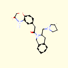 O=C1COc2ccc(CC(=O)N3Cc4ccccc4CC3CN3CCCC3)cc2N1